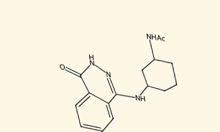 CC(=O)NC1CCCC(Nc2n[nH]c(=O)c3ccccc23)C1